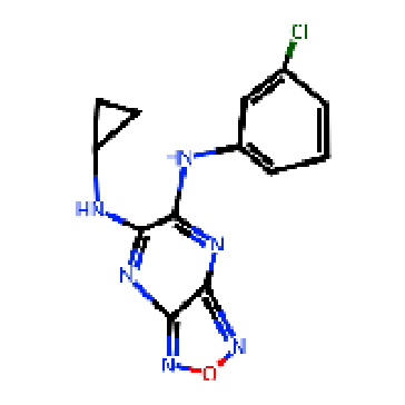 Clc1cccc(Nc2nc3nonc3nc2NC2CC2)c1